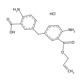 C=CCOC(=O)c1cc(Cc2ccc(N)c(C(=O)O)c2)ccc1N.Cl